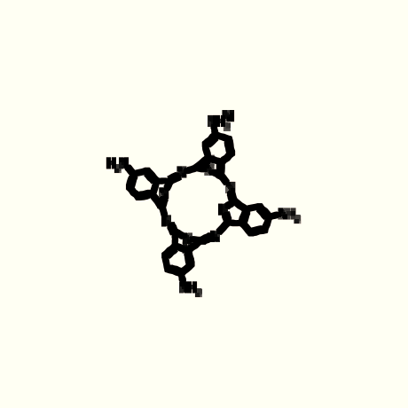 Nc1ccc2c(c1)-c1nc-2nc2[nH]c(nc3nc(nc4[nH]c(n1)c1ccc(N)cc41)-c1cc(N)ccc1-3)c1ccc(N)cc21.[Ni]